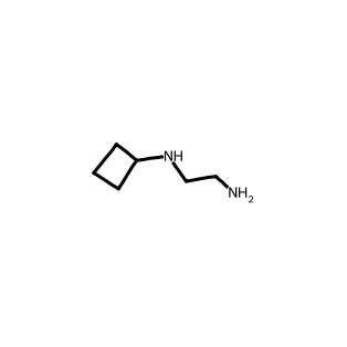 NCCNC1CCC1